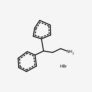 Br.NCCC(c1ccccc1)c1ccccc1